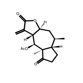 C=C1C(=O)O[C@H]2C[C@@H](C)[C@@H]3CCC(=O)[C@@]3(C)[C@@H](OC(C)=O)[C@H]12